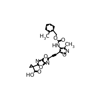 Cc1ccccc1COC(=O)Nc1c(C)noc1C#Cc1nc2oc(C3(C(=O)O)CC3)nc2o1